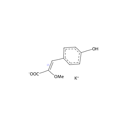 CO/C(=C\c1ccc(O)cc1)C(=O)[O-].[K+]